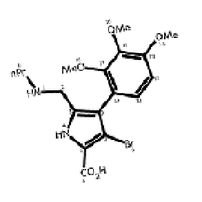 CCCNCc1[nH]c(C(=O)O)c(Br)c1-c1ccc(OC)c(OC)c1OC